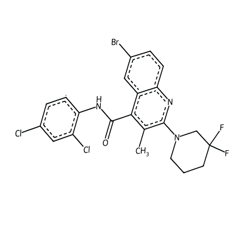 Cc1c(N2CCCC(F)(F)C2)nc2ccc(Br)cc2c1C(=O)Nc1[c]cc(Cl)cc1Cl